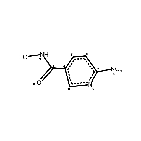 O=C(NO)c1ccc([N+](=O)[O-])nc1